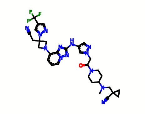 CN(CC1(C#N)CC1)C1CCN(C(=O)Cn2cc(Nc3nc4c(N5CC(CC#N)(n6cc(C(F)(F)F)cn6)C5)cccn4n3)cn2)CC1